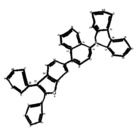 c1ccc(-c2oc3cc(-c4ccc(-n5c6ccccc6c6ccccc65)c5ccccc45)ccc3c2-c2ccccc2)cc1